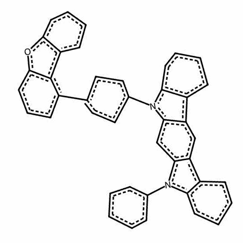 c1ccc(-n2c3ccccc3c3cc4c5ccccc5n(-c5ccc(-c6cccc7oc8ccccc8c67)cc5)c4cc32)cc1